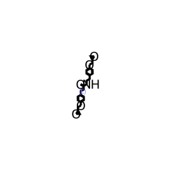 O=C(/C=C/c1ccc(OCC2CO2)cc1)NCCc1ccc(OCC2CO2)cc1